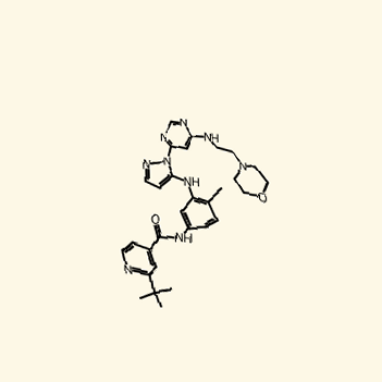 Cc1ccc(NC(=O)c2ccnc(C(C)(C)C)c2)cc1Nc1ccnn1-c1cc(NCCN2CCOCC2)ncn1